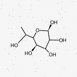 CC(O)C1O[C@@H](O)C(O)C(O)[C@H]1O